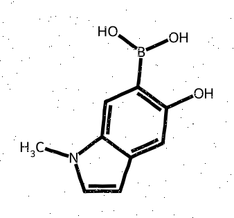 Cn1ccc2cc(O)c(B(O)O)cc21